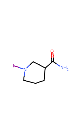 NC(=O)C1CCCN(I)C1